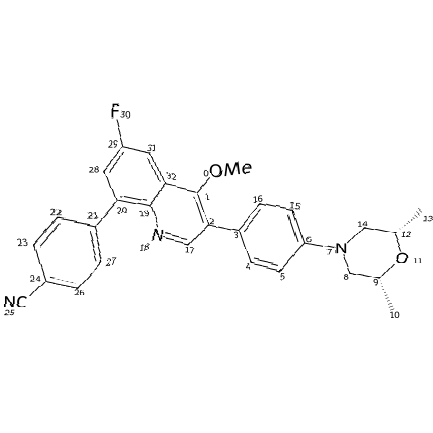 COc1c(-c2ccc(N3C[C@@H](C)O[C@@H](C)C3)cc2)cnc2c(-c3ccc(C#N)cc3)cc(F)cc12